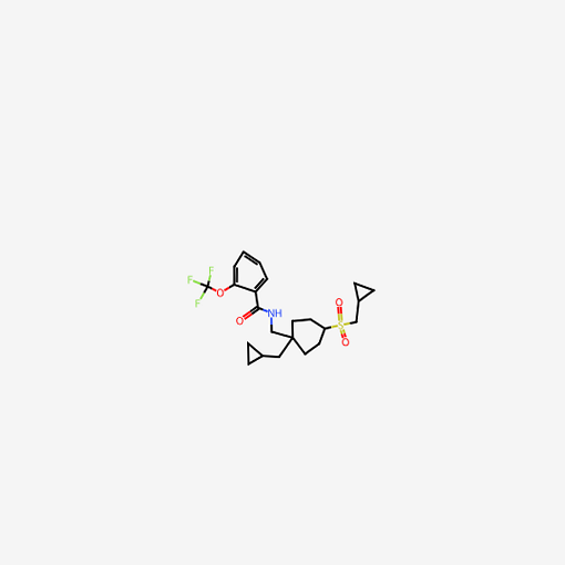 O=C(NCC1(CC2CC2)CCC(S(=O)(=O)CC2CC2)CC1)c1ccccc1OC(F)(F)F